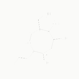 CCOC1OCC(CO)C(O)C(O)CC1O